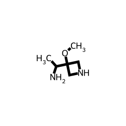 COC1(C(C)N)CNC1